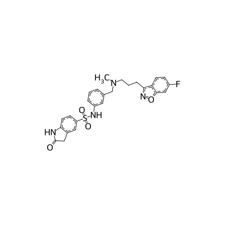 CN(CCCc1noc2cc(F)ccc12)Cc1cccc(NS(=O)(=O)c2ccc3c(c2)CC(=O)N3)c1